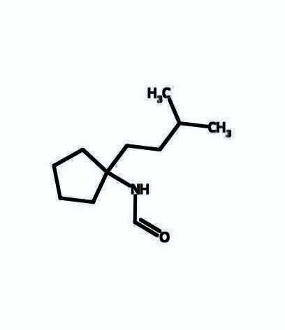 CC(C)CCC1(NC=O)CCCC1